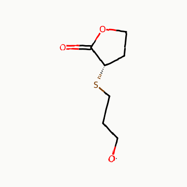 [O]CCCS[C@H]1CCOC1=O